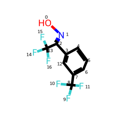 O/N=C(/c1cccc(C(F)(F)F)c1)C(F)(F)F